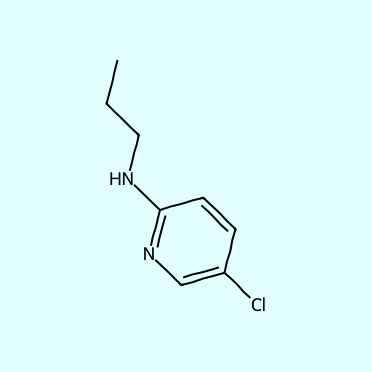 CCCNc1ccc(Cl)cn1